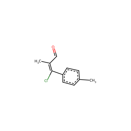 CC(C=O)=C(Cl)c1ccc(C)cc1